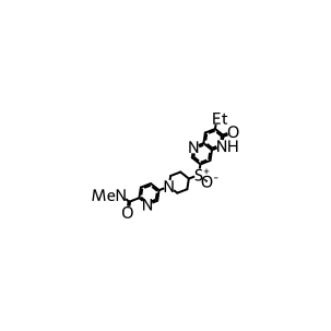 CCc1cc2ncc([S@@+]([O-])C3CCN(c4ccc(C(=O)NC)nc4)CC3)cc2[nH]c1=O